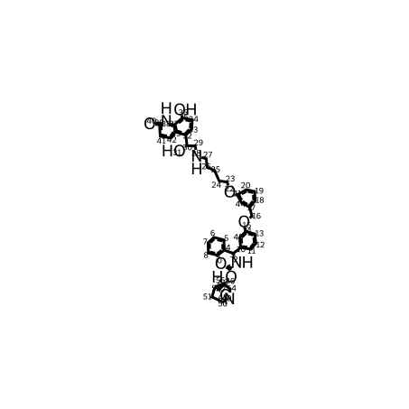 O=C(NC(c1ccccc1)c1cccc(OCc2cccc(OCCCCCNC[C@@H](O)c3ccc(O)c4[nH]c(=O)ccc34)c2)c1)O[C@H]1CN2CCC1CC2